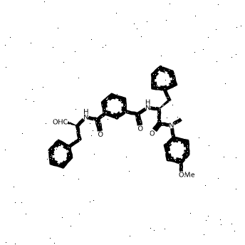 COc1ccc(N(C)C(=O)[C@H](Cc2ccccc2)NC(=O)c2cccc(C(=O)N[C@H](C=O)Cc3ccccc3)c2)cc1